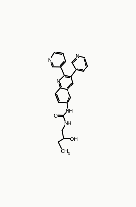 CCC(O)CNC(=O)Nc1ccc2nc(-c3cccnc3)c(-c3cccnc3)cc2c1